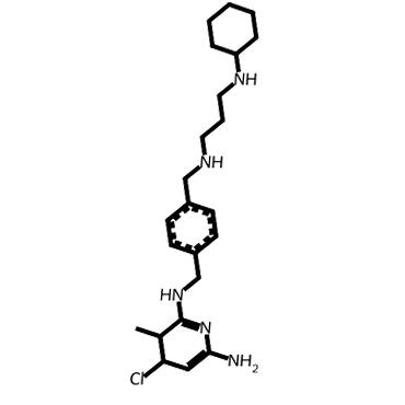 CC1C(NCc2ccc(CNCCCNC3CCCCC3)cc2)=NC(N)=CC1Cl